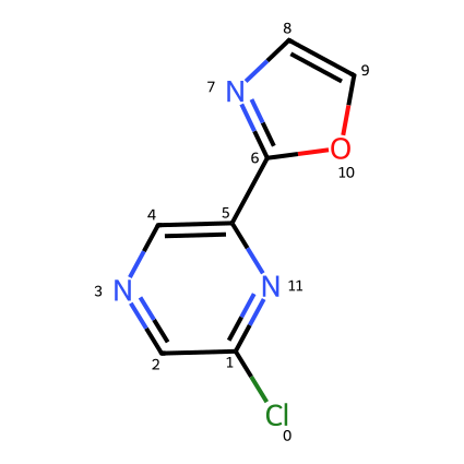 Clc1cncc(-c2ncco2)n1